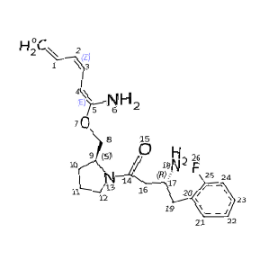 C=C/C=C\C=C(/N)OC[C@@H]1CCCN1C(=O)C[C@H](N)Cc1ccccc1F